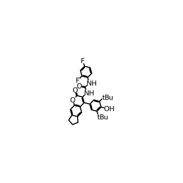 CC(C)(C)c1cc(-c2c(NC(=O)Nc3ccc(F)cc3F)c(=O)oc3cc4c(cc23)CCC4)cc(C(C)(C)C)c1O